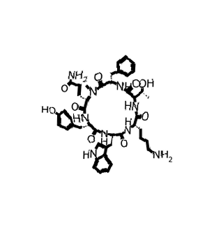 C[C@@H](O)C1NC(=O)[C@H](CCCCN)NC(=O)[C@@H](Cc2c[nH]c3ccccc23)NC(=O)[C@H](Cc2ccc(O)cc2)NC(=O)[C@H](CCC(N)=O)N(C)C(=O)[C@H](Cc2ccccc2)NC1=O